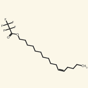 CCCC/C=C\CCCCCCCCCCOC(=O)C(F)(F)C(F)(F)F